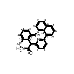 NC(=O)C(c1cccc(-c2cccc3ccccc23)n1)c1c(F)cccc1F